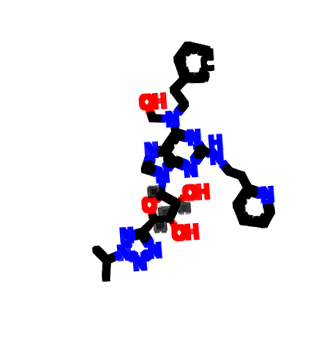 CC(C)n1nnc([C@H]2O[C@@H](n3cnc4c(N(CO)CCc5ccccc5)nc(NCCc5ccccn5)nc43)[C@H](O)[C@@H]2O)n1